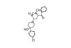 CN(C)C(CC(F)N1CCC(O)(c2ccc(Cl)cc2)CC1)C(=O)c1ccccc1